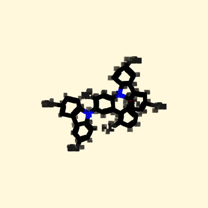 CC(C)(C)c1ccc2c(c1)c1cc(C(C)(C)C)ccc1n2-c1cc(-c2c(C(F)(F)F)cccc2C(F)(F)F)c(-n2c3ccc(C(C)(C)C)cc3c3cc(C(C)(C)C)ccc32)cc1C#N